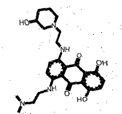 CN(C)CCNc1ccc(NCCN2CCCC(O)C2)c2c1C(=O)c1c(O)ccc(O)c1C2=O